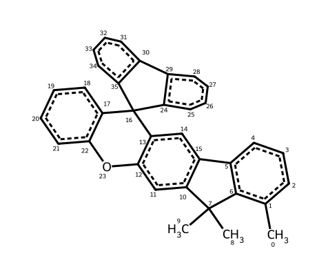 Cc1cccc2c1C(C)(C)c1cc3c(cc1-2)C1(c2ccccc2O3)c2ccccc2-c2ccccc21